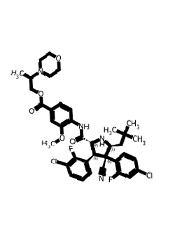 COc1cc(C(=O)OCC(C)N2CCOCC2)ccc1NC(=O)[C@@H]1N[C@@H](CC(C)(C)C)[C@](C#N)(c2ccc(Cl)cc2F)[C@H]1c1cccc(Cl)c1F